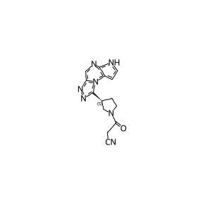 N#CCC(=O)N1CC[C@H](c2nnc3cnc4[nH]ccc4n23)C1